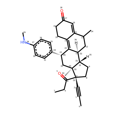 CC#C[C@]1(C(=O)CC)CC[C@H]2[C@@H]3CC(C)C4=CC(=O)CCC4=C3[C@@H](c3ccc(NC)cc3)C[C@@]21C